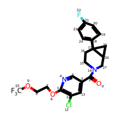 O=C(c1cnc(OCCOC(F)(F)F)c(Cl)c1)N1CCC2(c3ccc(F)cc3)CC2C1